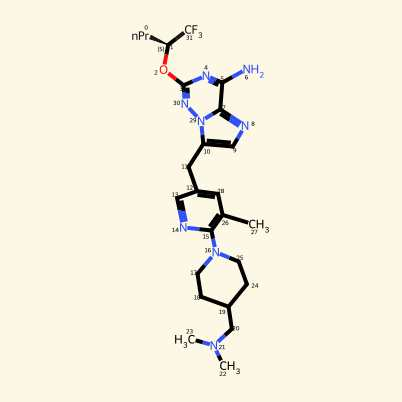 CCC[C@H](Oc1nc(N)c2ncc(Cc3cnc(N4CCC(CN(C)C)CC4)c(C)c3)n2n1)C(F)(F)F